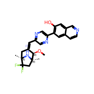 CO[C@@H]1/C(=C\c2cnc(-c3cc4ccncc4cc3O)cn2)C[C@@]2(C)N[C@]1(C)CC2(F)F